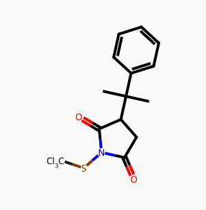 CC(C)(c1ccccc1)C1CC(=O)N(SC(Cl)(Cl)Cl)C1=O